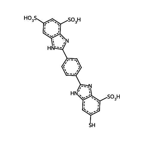 O=S(=O)(O)c1cc(S(=O)(=O)O)c2nc(-c3ccc(-c4nc5c(S(=O)(=O)O)cc(S)cc5[nH]4)cc3)[nH]c2c1